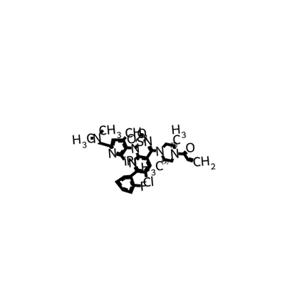 C=CC(=O)N1C[C@H](C)N(C2=NS(=O)(=O)N(c3c(C)cc(CN(C)C)nc3C(C)C)c3nc(-c4ccccc4F)c(Cl)cc32)C[C@H]1C